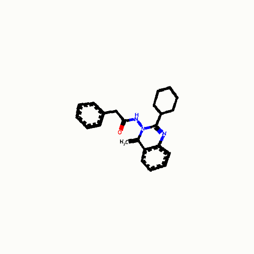 C=C1c2ccccc2N=C(C2CCCCC2)N1NC(=O)Cc1ccccc1